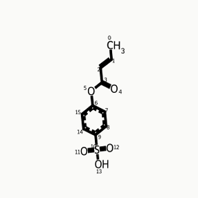 CC=CC(=O)Oc1ccc(S(=O)(=O)O)cc1